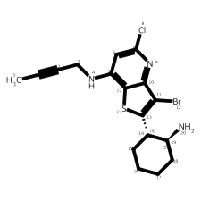 CC#CCNc1cc(Cl)nc2c(Br)c([C@H]3CCCC[C@@H]3N)sc12